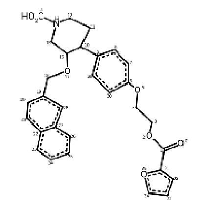 O=C(OCCOc1ccc(C2CCN(C(=O)O)CC2OCc2ccc3ccccc3c2)cc1)c1ccco1